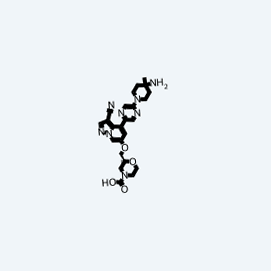 CC1(N)CCN(c2cnc(-c3cc(OC[C@@H]4CN(C(=O)O)CCO4)cn4ncc(C#N)c34)cn2)CC1